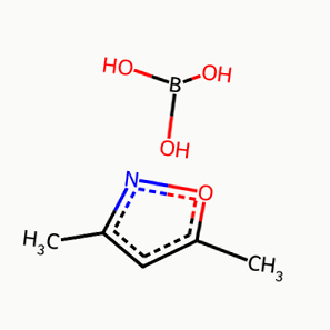 Cc1cc(C)on1.OB(O)O